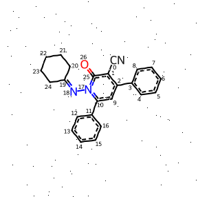 N#Cc1c(-c2ccccc2)cc(-c2ccccc2)n(N=C2CCCCC2)c1=O